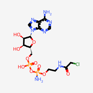 Nc1ncnc2c1ncn2[C@@H]1O[C@H](COP(=O)(O)OP(N)(=O)OCCNC(=O)CCl)[C@@H](O)[C@H]1O